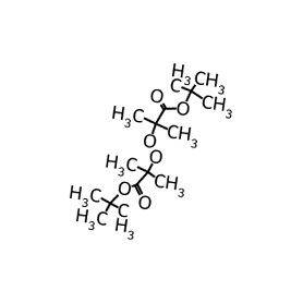 CC(C)(C)OC(=O)C(C)(C)OOC(C)(C)C(=O)OC(C)(C)C